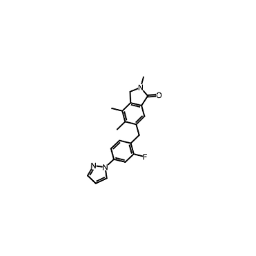 Cc1c(Cc2ccc(-n3cccn3)cc2F)cc2c(c1C)CN(C)C2=O